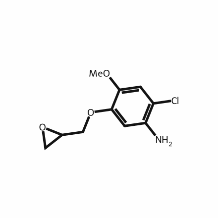 COc1cc(Cl)c(N)cc1OCC1CO1